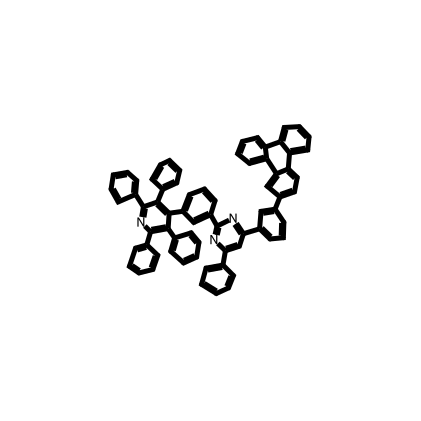 c1ccc(-c2cc(-c3cccc(-c4ccc5c6ccccc6c6ccccc6c5c4)c3)nc(-c3cccc(-c4c(-c5ccccc5)c(-c5ccccc5)nc(-c5ccccc5)c4-c4ccccc4)c3)n2)cc1